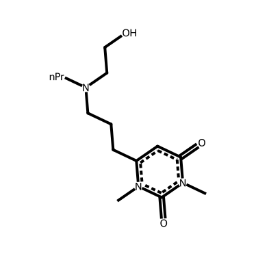 CCCN(CCO)CCCc1cc(=O)n(C)c(=O)n1C